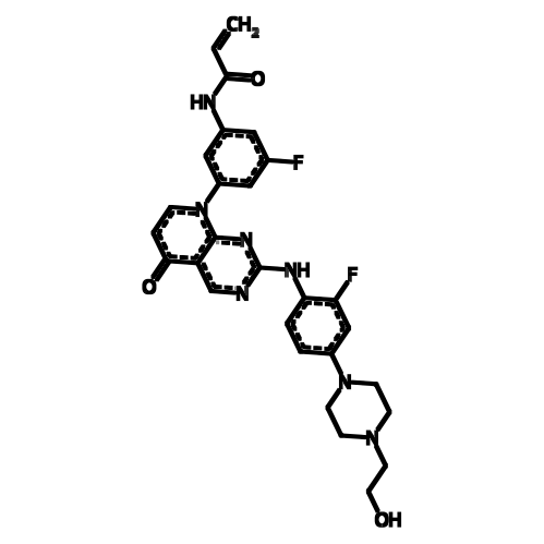 C=CC(=O)Nc1cc(F)cc(-n2ccc(=O)c3cnc(Nc4ccc(N5CCN(CCO)CC5)cc4F)nc32)c1